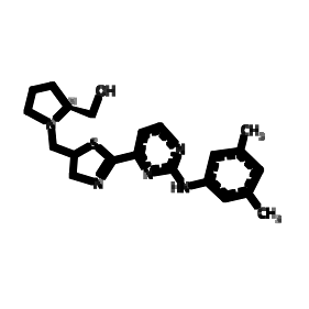 Cc1cc(C)cc(Nc2nccc(C3=NCC(CN4CCC[C@H]4CO)S3)n2)c1